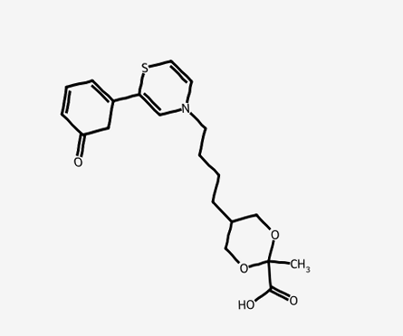 CC1(C(=O)O)OCC(CCCCN2C=CSC(C3=CC=CC(=O)C3)=C2)CO1